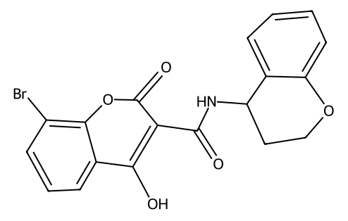 O=C(NC1CCOc2ccccc21)c1c(O)c2cccc(Br)c2oc1=O